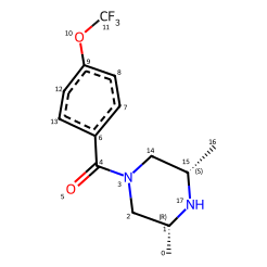 C[C@@H]1CN(C(=O)c2ccc(OC(F)(F)F)cc2)C[C@H](C)N1